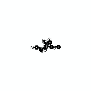 [CH2][C@@H](Cc1ccc(OCc2ccccc2)cc1)N(C(=O)Cc1cncn1Cc1ccc(C#N)cc1)C(=S)N(CCN(C)C)Cc1cccc(Cl)c1Cl